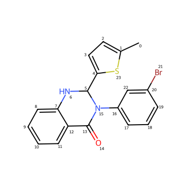 Cc1ccc(C2Nc3ccccc3C(=O)N2c2cccc(Br)c2)s1